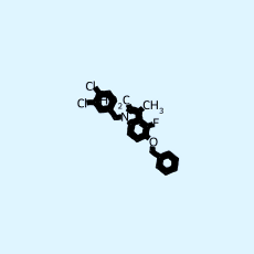 Cc1c(C(=O)O)n(Cc2ccc(Cl)c(Cl)c2)c2ccc(OCc3ccccc3)c(F)c12